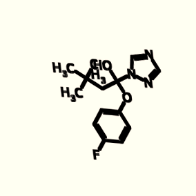 CC(C)(C)CC(O)(Oc1ccc(F)cc1)n1cncn1